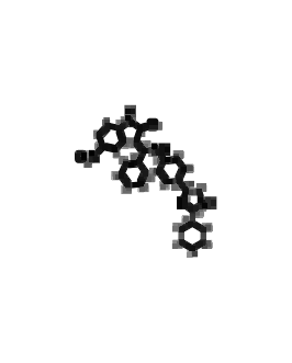 O=C1Nc2ccc([N+](=O)[O-])cc2C1=C(Nc1ccc(-c2c[nH]c(C3CCCCC3)n2)cc1)c1ccccc1